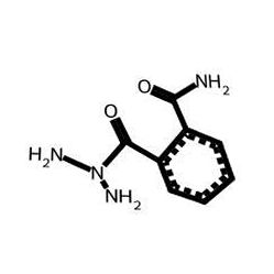 NC(=O)c1ccccc1C(=O)N(N)N